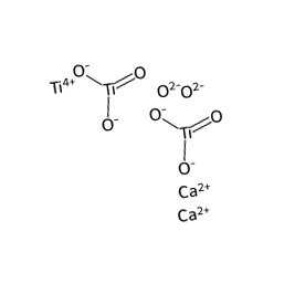 [Ca+2].[Ca+2].[O-2].[O-2].[O]=[Ti]([O-])[O-].[O]=[Ti]([O-])[O-].[Ti+4]